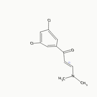 CN(C)/C=C/C(=O)c1cc(Cl)cc(Cl)c1